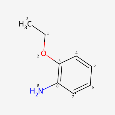 CCOc1ccc[c]c1N